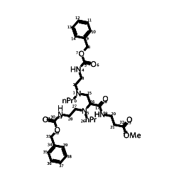 CCCN(CCNC(=O)OCc1ccccc1)CC(C(=O)NCCC(=O)OC)N(CCC)CCNC(=O)OCc1ccccc1